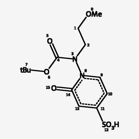 COCCN(C(=O)OC(C)(C)C)n1ccc(S(=O)(=O)O)cc1=O